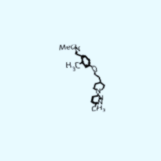 CON=Cc1ccc(OCCC2CCN(c3ccc(C)nn3)CC2)cc1C